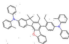 CCc1cc(N(c2ccccc2)c2ccccc2C)ccc1-c1c(CC)c2c(c3oc4ccccc4c13)-c1ccc(N(c3ccccc3)c3ccccc3C)cc1C2(C)C